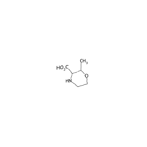 CC1OCCNC1C(=O)O